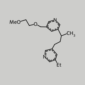 CCc1cncc(CCC(C)c2cncc(COCCOC)c2)c1